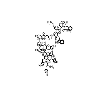 NCCCC[C@H](NC(=O)[C@H](Cc1c[nH]c2ccccc12)NC(=O)CNC(=O)CNC(=O)[C@H](CO)NC(=O)[C@H](CO)NC(=O)[C@H](Cc1c[nH]cn1)NC(=O)[C@H](Cc1c[nH]cn1)NC(=O)[C@H](Cc1c[nH]cn1)NC(=O)[C@H](Cc1c[nH]cn1)NC(=O)[C@H](Cc1c[nH]cn1)NC(=O)[C@@H](N)Cc1c[nH]cn1)C(=O)N[C@@H](CC(=O)O)C(=O)N[C@@H](Cc1ccccc1)C(N)=O